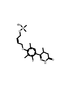 Cc1cc(C2=NNC(=O)CC2C)c(F)c(C)c1OC/C=C\CO[Si](C)(C)C(C)(C)C